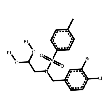 CCOC(CN(Cc1ccc(Cl)c(Br)c1)S(=O)(=O)c1ccc(C)cc1)OCC